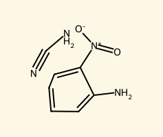 N#CN.Nc1ccccc1[N+](=O)[O-]